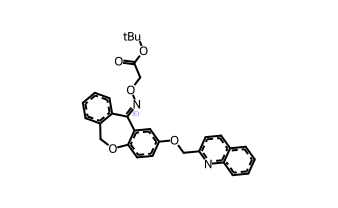 CC(C)(C)OC(=O)CO/N=C1\c2ccccc2COc2ccc(OCc3ccc4ccccc4n3)cc21